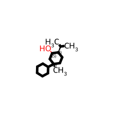 CC(C)[C@H]1CC[C@](C)(C2CCCCC2)C[C@@H]1O